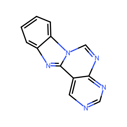 c1ccc2c(c1)nc1c3cncnc3ncn21